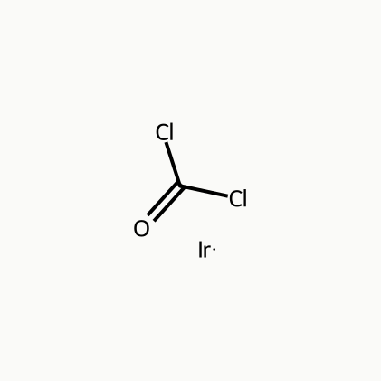 O=C(Cl)Cl.[Ir]